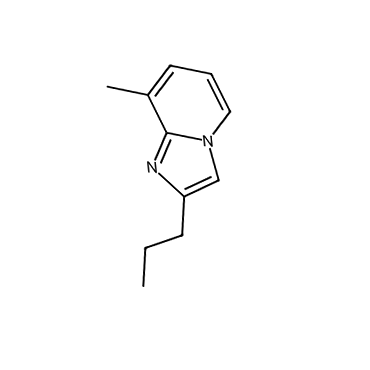 CCCc1cn2cccc(C)c2n1